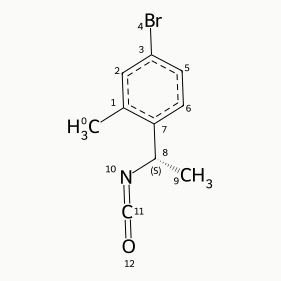 Cc1cc(Br)ccc1[C@H](C)N=C=O